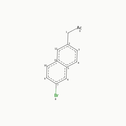 CC(=O)Cc1ccc2cc(Br)ccc2c1